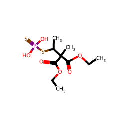 CCOC(=O)C(C)(C(=O)OCC)C(C)SP(O)(O)=S